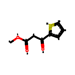 COC(=O)CC(=O)c1cccs1